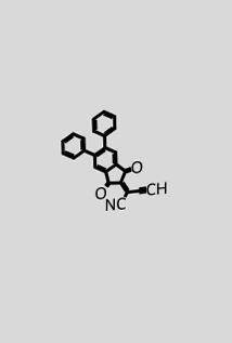 C#CC(C#N)=C1C(=O)c2cc(-c3ccccc3)c(-c3ccccc3)cc2C1=O